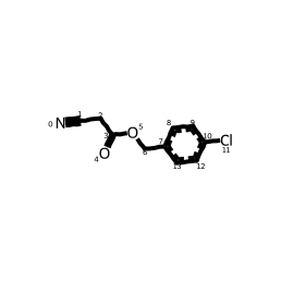 N#CCC(=O)OCc1ccc(Cl)cc1